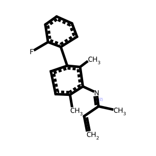 C=C/C(C)=N\c1c(C)ccc(-c2ccccc2F)c1C